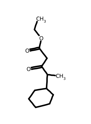 CCOC(=O)CC(=O)C(C)C1CCCCC1